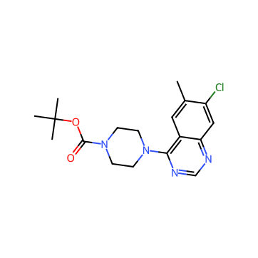 Cc1cc2c(N3CCN(C(=O)OC(C)(C)C)CC3)ncnc2cc1Cl